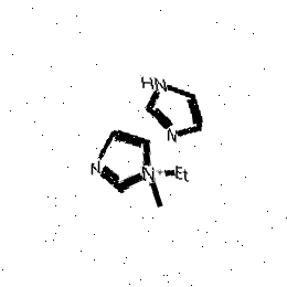 CC[N+]1(C)C=CN=C1.c1c[nH]cn1